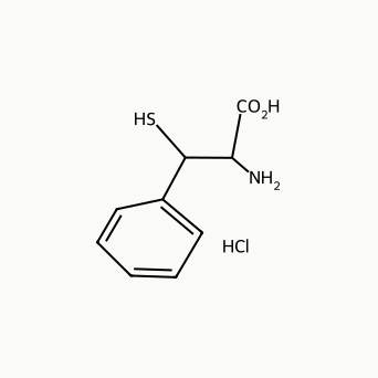 Cl.NC(C(=O)O)C(S)c1ccccc1